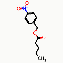 CCCCC(=O)OCc1ccc([N+](=O)[O-])cc1